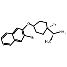 CC[C@]1([C@H](C)N)CC[C@@H](Oc2cc3ccncc3cc2Br)CC1